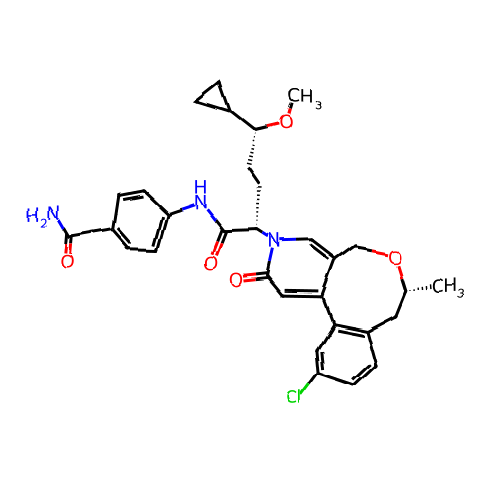 CO[C@H](CC[C@@H](C(=O)Nc1ccc(C(N)=O)cc1)n1cc2c(cc1=O)-c1cc(Cl)ccc1C[C@@H](C)OC2)C1CC1